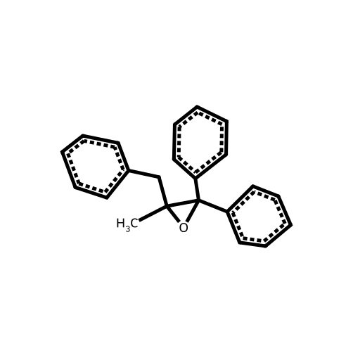 CC1(Cc2ccccc2)OC1(c1ccccc1)c1ccccc1